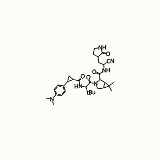 CN(C)c1ccc(C2CC2C(=O)NC(C(=O)N2CC3C(C2C(=O)NC(C#N)CC2CCNC2=O)C3(C)C)C(C)(C)C)cc1